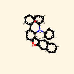 c1ccc(-c2ccc3oc4cc5ccccc5cc4c3c2N(c2ccccc2)c2ccccc2)cc1